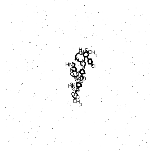 C[C@@H]1COC(COc2ccc(S(=O)(=O)NC(=O)c3ccc(N4CCN5CC6=C(c7ccc(Cl)cc7)CC(C)(C)C[C@H]6OCCCOCC5C4)cc3N3CCCOc4nc5[nH]ccc5cc43)cc2[NH+]([O-])O)CO1